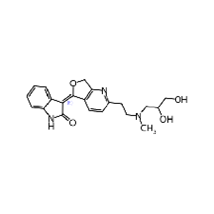 CN(CCc1ccc2c(n1)CO/C2=C1/C(=O)Nc2ccccc21)CC(O)CO